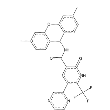 Cc1ccc2c(c1)Oc1cc(C)ccc1C2NC(=O)c1cc(-c2cnccn2)c(C(F)(F)F)[nH]c1=O